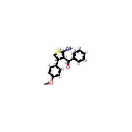 COc1ccc(-c2csc(N)c2C(=O)c2ccccc2)cc1